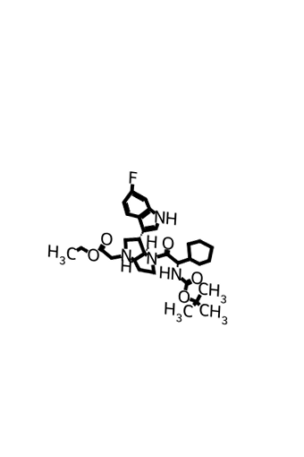 CCOC(=O)CN1C[C@H](c2c[nH]c3cc(F)ccc23)[C@@H]2[C@H]1CCN2C(=O)[C@@H](NC(=O)OC(C)(C)C)C1CCCCC1